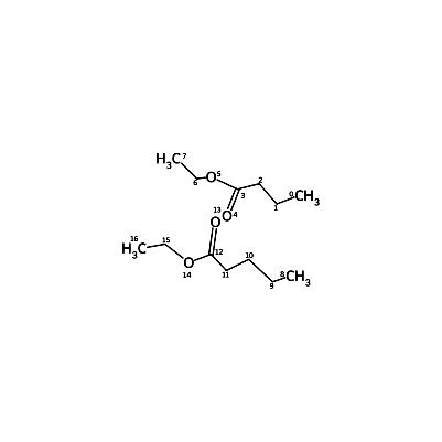 CCCC(=O)OCC.CCCCC(=O)OCC